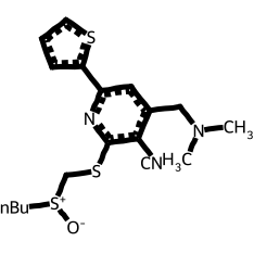 CCCC[S+]([O-])CSc1nc(-c2cccs2)cc(CN(C)C)c1C#N